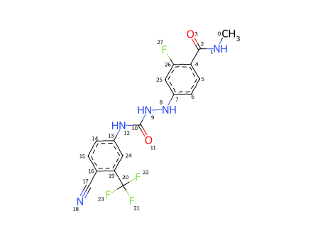 CNC(=O)c1ccc(NNC(=O)Nc2ccc(C#N)c(C(F)(F)F)c2)cc1F